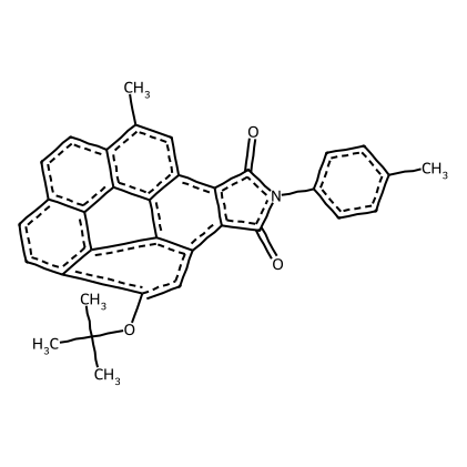 Cc1ccc(-n2c(=O)c3c4cc(C)c5ccc6ccc7c(OC(C)(C)C)cc(c3c2=O)c2c7c6c5c42)cc1